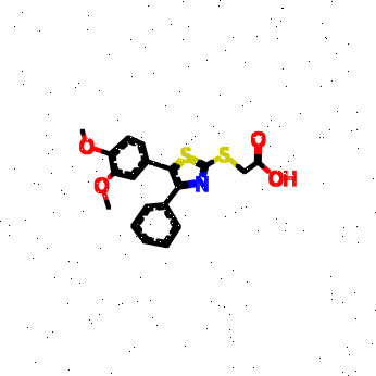 COc1ccc(-c2sc(SCC(=O)O)nc2-c2ccccc2)cc1OC